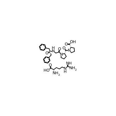 N=C(N)NCCC[C@H](N)C(=O)O.O=C(O)[C@@H]1CCCN1C(=O)[C@@H]1CCCN1C(=O)CNP(=O)(Cc1ccccc1)Cc1ccccc1